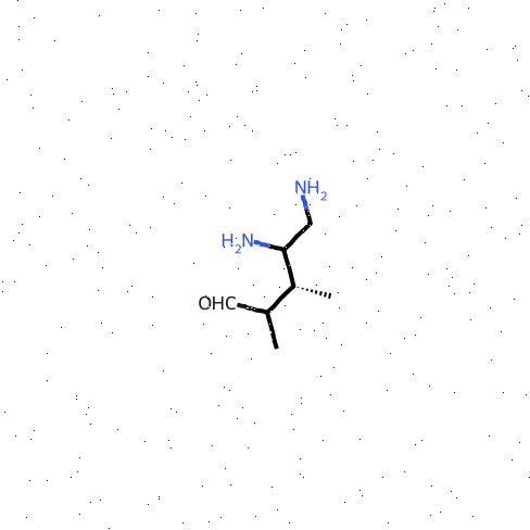 CC(C=O)[C@@H](C)C(N)CN